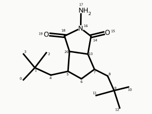 CC(C)(C)CC1CC(CC(C)(C)C)C2C(=O)N(N)C(=O)C12